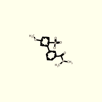 COc1ccc(S(=O)(=O)Cl)c(-c2cccc(C(=O)N(C)C)c2)c1